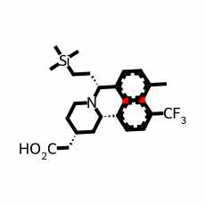 Cc1ccc([C@@H](CC[Si](C)(C)C)N2CC[C@@H](CC(=O)O)C[C@H]2c2ccc(C(F)(F)F)cc2)cc1